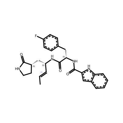 C/C=C/[C@H](C[C@@H]1CCNC1=O)NC(=O)[C@H](Cc1ccc(F)cc1)NC(=O)c1cc2ccccc2[nH]1